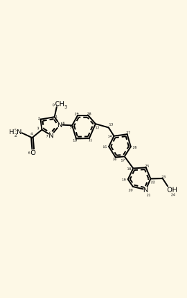 Cc1cc(C(N)=O)nn1-c1ccc(Cc2ccc(-c3ccnc(CO)c3)cc2)cc1